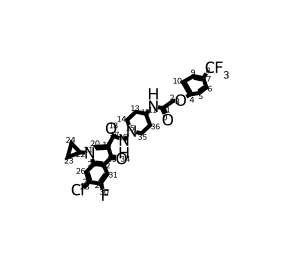 O=C(COc1ccc(C(F)(F)F)cc1)NC1CCN(NC(=O)c2cn(C3CC3)c3cc(Cl)c(F)cc3c2=O)CC1